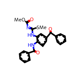 COC(=O)/N=C(/Nc1cc(C(=O)c2ccccc2)ccc1NC(=O)c1ccccc1)SC